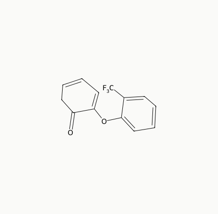 O=C1CC=CC=C1Oc1ccccc1C(F)(F)F